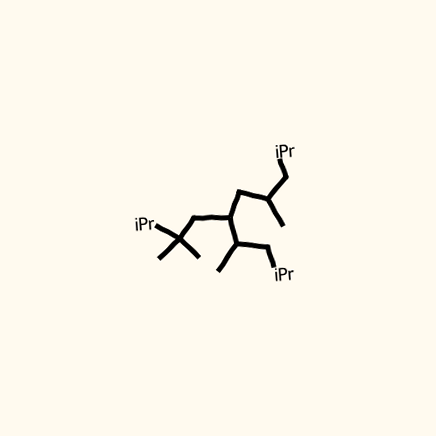 CC(C)CC(C)CC(CC(C)(C)C(C)C)C(C)CC(C)C